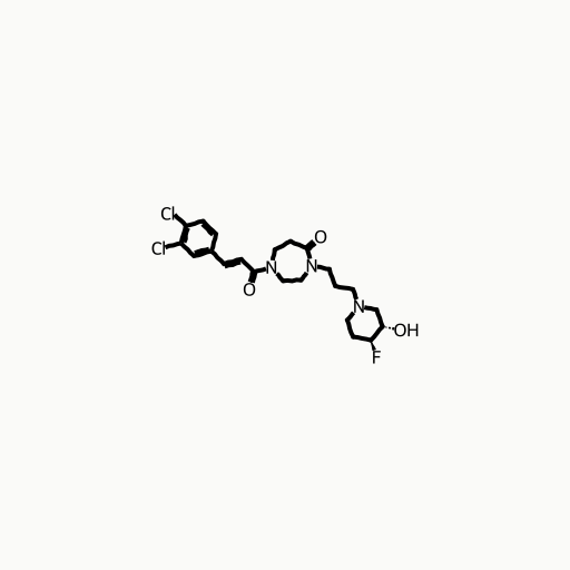 O=C(/C=C/c1ccc(Cl)c(Cl)c1)N1CCC(=O)N(CCCN2CC[C@H](F)[C@@H](O)C2)CC1